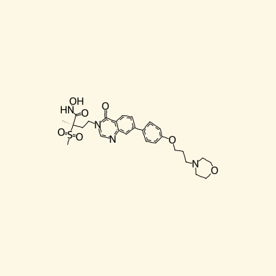 C[C@@](CCn1cnc2cc(-c3ccc(OCCCN4CCOCC4)cc3)ccc2c1=O)(C(=O)NO)S(C)(=O)=O